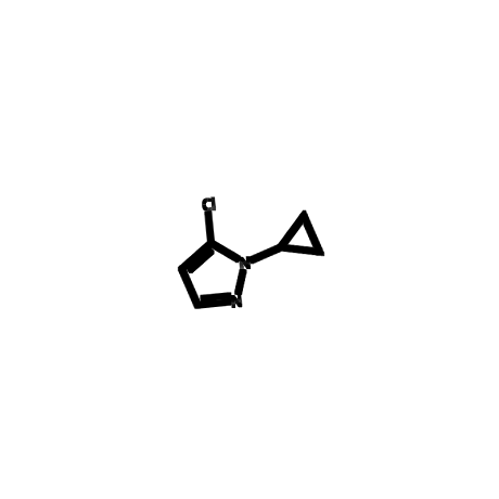 Clc1ccnn1C1CC1